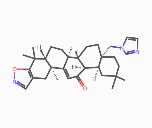 CC1(C)CC[C@]2(Cn3ccnc3)CC[C@]3(C)[C@H](C(=O)C=C4[C@@]5(C)Cc6cnoc6C(C)(C)[C@@H]5CC[C@]43C)[C@@H]2C1